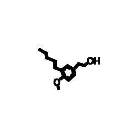 CCCC=Cc1cc(CCO)ccc1OC